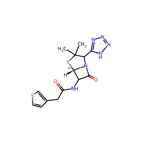 CC1(C)S[C@H]2C(NC(=O)Cc3ccsc3)C(=O)N2C1c1nnn[nH]1